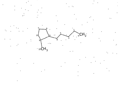 [CH2]CCCCC1CCCC1C